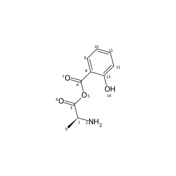 C[C@H](N)C(=O)OC(=O)c1ccccc1O